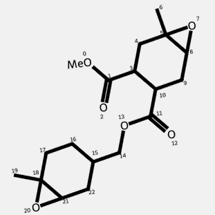 COC(=O)C1CC2(C)OC2CC1C(=O)OCC1CCC2(C)OC2C1